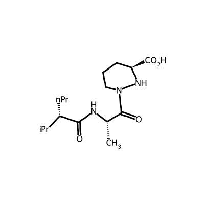 CCC[C@H](C(=O)N[C@@H](C)C(=O)N1CCC[C@@H](C(=O)O)N1)C(C)C